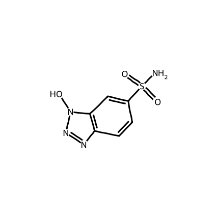 NS(=O)(=O)c1ccc2nnn(O)c2c1